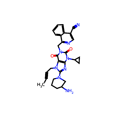 CC#CCn1c(N2CCCC(N)C2)nc2c1c(=O)n(Cc1ncc(C#N)c3ccccc13)c(=O)n2C1CC1